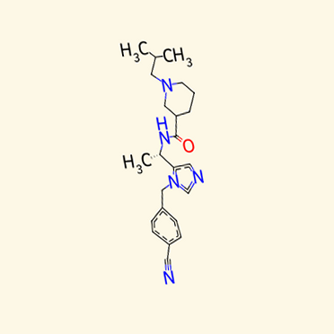 CC(C)CN1CCCC(C(=O)N[C@@H](C)c2cncn2Cc2ccc(C#N)cc2)C1